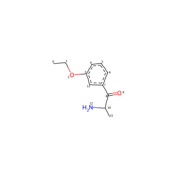 CCOc1cccc(C(=O)C(C)N)c1